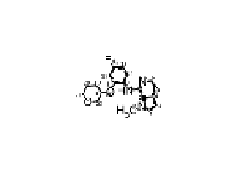 Cn1ccc2ncnc(Nc3ccc(F)cc3OC3CCCOC3)c21